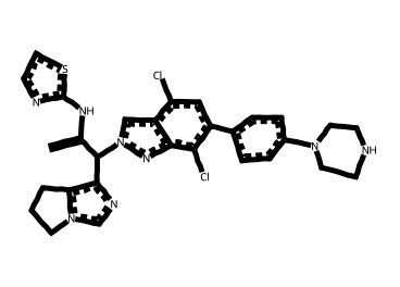 C=C(Nc1nccs1)C(c1ncn2c1CCC2)n1cc2c(Cl)cc(-c3ccc(N4CCNCC4)cc3)c(Cl)c2n1